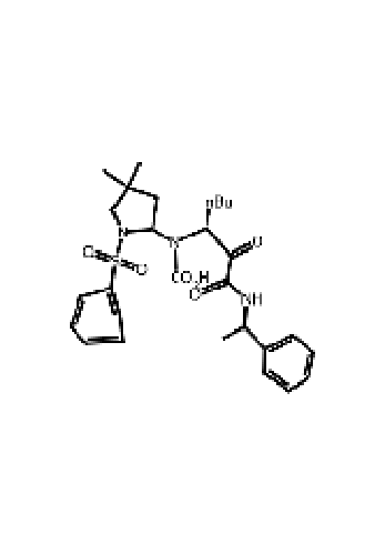 CCCC[C@@H](C(=O)C(=O)NC(C)c1ccccc1)N(C(=O)O)C1CC(C)(C)CN1S(=O)(=O)c1ccccc1